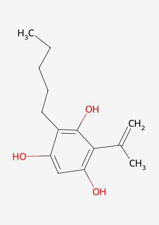 C=C(C)c1c(O)cc(O)c(CCCCC)c1O